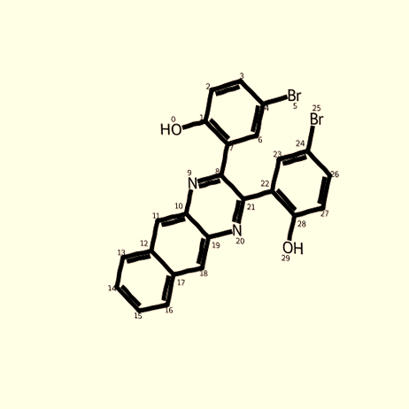 Oc1ccc(Br)cc1-c1nc2cc3ccccc3cc2nc1-c1cc(Br)ccc1O